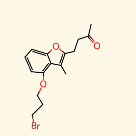 CC(=O)CCc1oc2cccc(OCCCBr)c2c1C